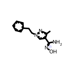 Cc1nn(CCc2ccccc2)cc1/C(N)=N/O